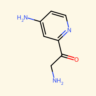 NCC(=O)c1cc(N)ccn1